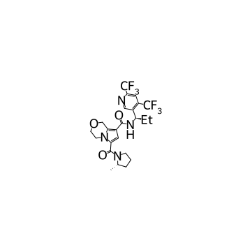 CC[C@@H](NC(=O)c1cc(C(=O)N2CCC[C@@H]2C)n2c1COCC2)c1cnc(C(F)(F)F)cc1C(F)(F)F